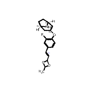 CC1OC(/C=C/c2ccc(O[C@H]3C[C@H]4CC[C@@H](C3)N4)c(F)c2)O1